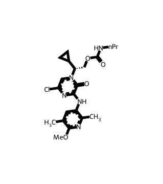 CCCNC(=O)OC[C@@H](C1CC1)n1cc(Cl)nc(Nc2cc(C)c(OC)nc2C)c1=O